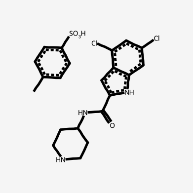 Cc1ccc(S(=O)(=O)O)cc1.O=C(NC1CCNCC1)c1cc2c(Cl)cc(Cl)cc2[nH]1